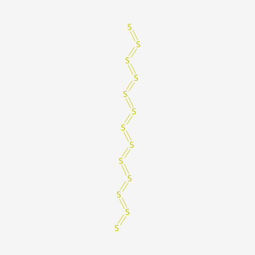 S=S=S=S=S=S=S=S=S=S=S=S=S